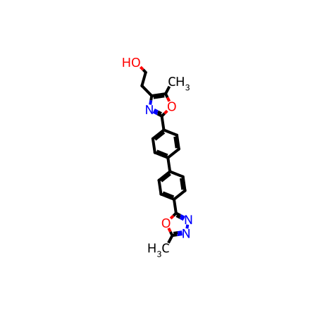 Cc1nnc(-c2ccc(-c3ccc(-c4nc(CCO)c(C)o4)cc3)cc2)o1